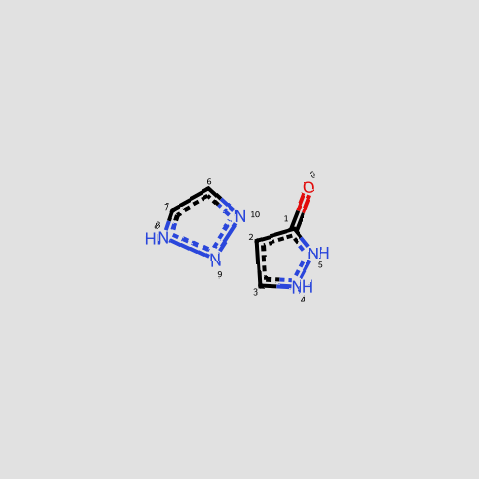 O=c1cc[nH][nH]1.c1c[nH]nn1